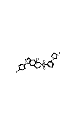 CC[C@]12Cc3cnn(-c4ccc(F)cc4)c3C=C1CCN(S(=O)(=O)c1cccc(N3CC[C@H](F)C3)c1)C2